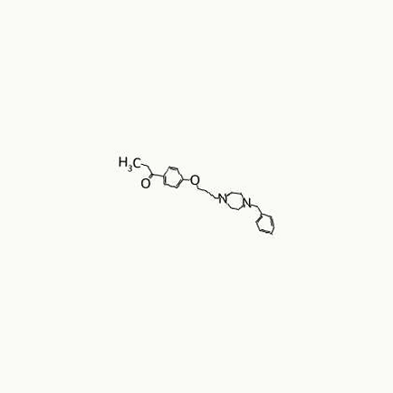 CCC(=O)c1ccc(OCCCN2CCN(Cc3ccccc3)CC2)cc1